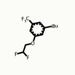 CCC(C)c1cc(OCC(F)F)cc(C(F)(F)F)c1